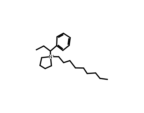 CCCCCCCCC[N+]1(C(CC)c2ccccc2)CCCC1